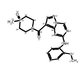 COc1ccccc1Nc1ncn2ncc(C(=O)N3CCP(C)(=O)CC3)c2n1